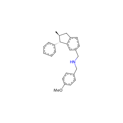 COc1ccc(CNCc2ccc3c(c2)[C@H](c2ccccc2)[C@@H](C)C3)cc1